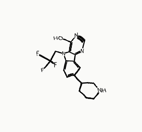 Oc1ncnc2c3cc(C4CCCNC4)ccc3n(CC(F)(F)F)c12